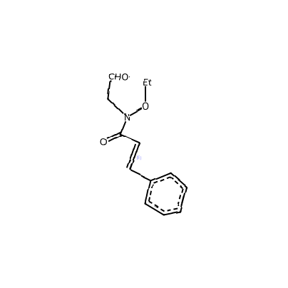 CCON(C[C]=O)C(=O)/C=C/c1ccccc1